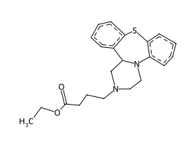 CCOC(=O)CCCN1CCN2c3ccccc3Sc3ccccc3C2C1